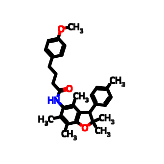 COc1ccc(CCCC(=O)Nc2c(C)c(C)c3c(c2C)C(c2ccc(C)cc2)C(C)(C)O3)cc1